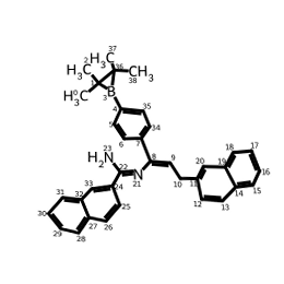 CC1(C)B(c2ccc(C(=C/Cc3ccc4ccccc4c3)/N=C(\N)c3ccc4ccccc4c3)cc2)C1(C)C